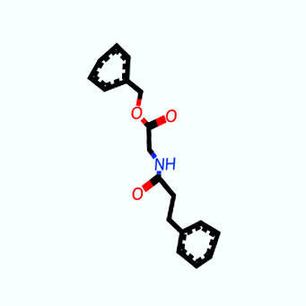 O=C(CCc1ccccc1)NCC(=O)OCc1ccccc1